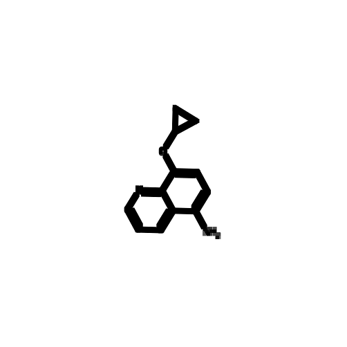 Nc1ccc(OC2CC2)c2ncccc12